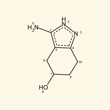 Nc1[nH]nc2c1CC(O)CC2